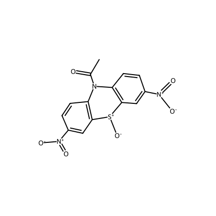 CC(=O)N1c2ccc([N+](=O)[O-])cc2[S+]([O-])c2cc([N+](=O)[O-])ccc21